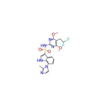 COc1nc(NS(=O)(=O)c2c[nH]c3c(-n4ccnc4C)cccc23)nc(OC)c1CC(F)F